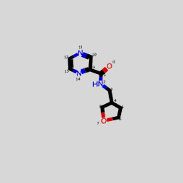 O=C(NCC1CCOC1)c1cnccn1